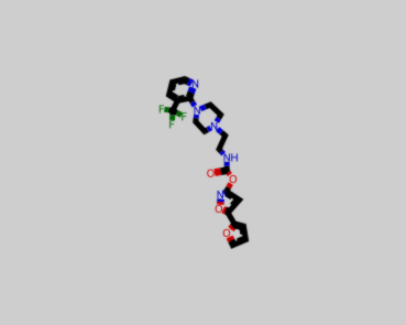 O=C(NCCN1CCN(c2ncccc2C(F)(F)F)CC1)Oc1cc(-c2ccco2)on1